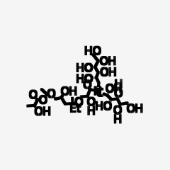 CCC(C)(CC(O)COC(C)OC(=O)C(C)O)OCC(O)C(=O)N(C[C@H](O)[C@@H](O)[C@H](O)[C@H](O)CO)C[C@H](O)[C@@H](O)[C@H](O)[C@H](O)CO